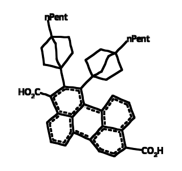 CCCCCC12CCC(c3c(C(=O)O)c4cccc5c6ccc(C(=O)O)c7cccc(c(c3C38CCC(CCCCC)(CC3)CC8)c45)c76)(CC1)CC2